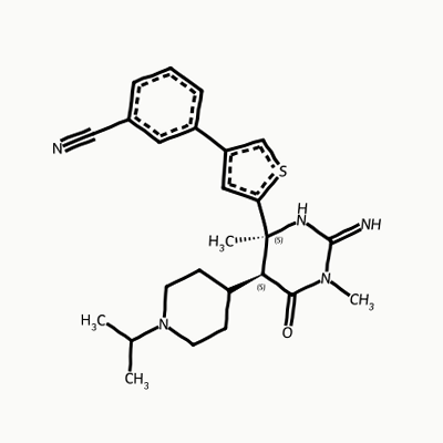 CC(C)N1CCC([C@@H]2C(=O)N(C)C(=N)N[C@]2(C)c2cc(-c3cccc(C#N)c3)cs2)CC1